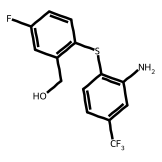 Nc1cc(C(F)(F)F)ccc1Sc1ccc(F)cc1CO